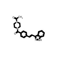 CC(=O)N1CCN(C(=O)c2ccc(C=Cc3n[nH]c4ccccc34)cc2)CC1